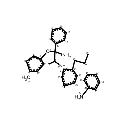 CC(N)C(N)(Oc1ccccc1)c1ccccc1.CCCc1ccccc1.Nc1ccccc1.O